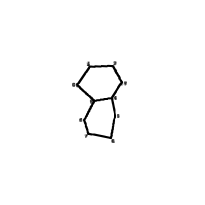 [CH]1CC[CH]C2CCCCC12